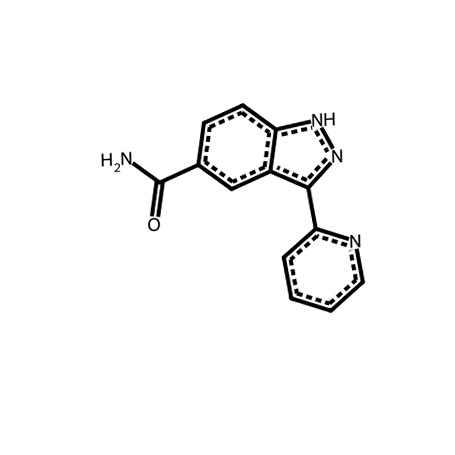 NC(=O)c1ccc2[nH]nc(-c3ccccn3)c2c1